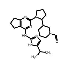 CC(C)c1cnc(Nc2nc(N3CCCC3C3CCCN(C=O)C3)nc3c2CCC3)[nH]1